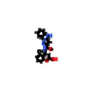 Cc1ccccc1[C@@H](CC(=O)O)NC(=O)c1cc2[nH]c3ccccc3n2n1